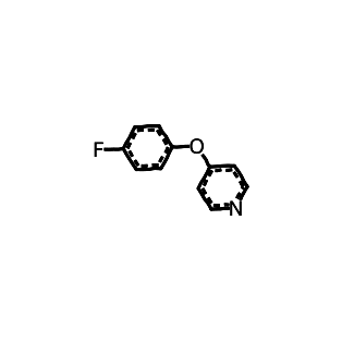 Fc1ccc(Oc2ccncc2)cc1